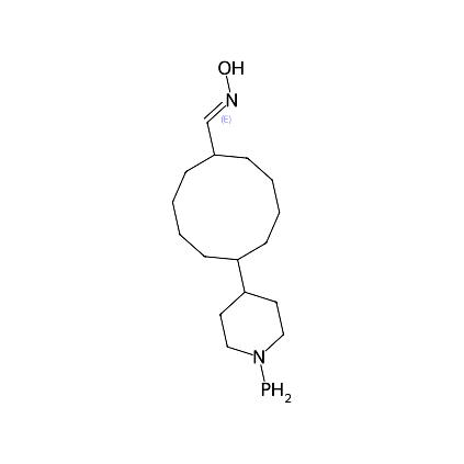 O/N=C/C1CCCCC(C2CCN(P)CC2)CCCC1